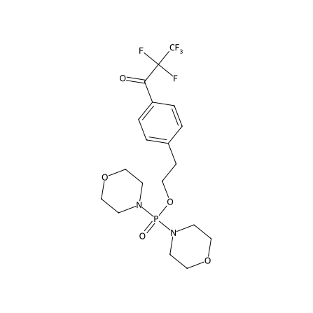 O=C(c1ccc(CCOP(=O)(N2CCOCC2)N2CCOCC2)cc1)C(F)(F)C(F)(F)F